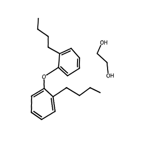 CCCCc1ccccc1Oc1ccccc1CCCC.OCCO